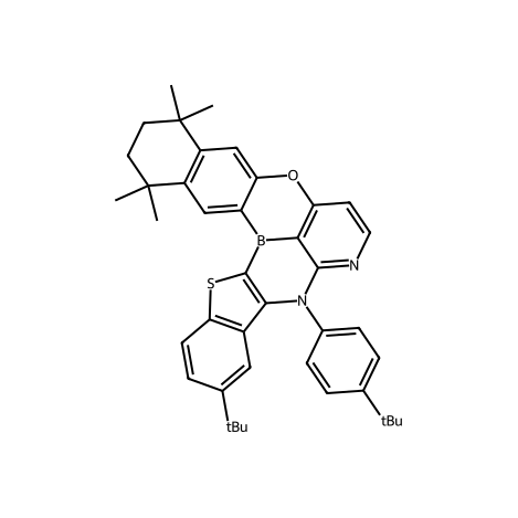 CC(C)(C)c1ccc(N2c3nccc4c3B(c3cc5c(cc3O4)C(C)(C)CCC5(C)C)c3sc4ccc(C(C)(C)C)cc4c32)cc1